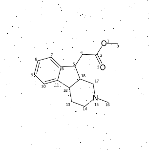 COC(=O)CC1c2ccccc2C2CCN(C)CC21